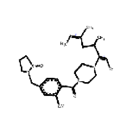 C/C=C(/C)CC(C)/C(=C/CC)N1CCN(C(=O)c2ccc(CN3CCC[S+]3[O-])cc2C#N)CC1